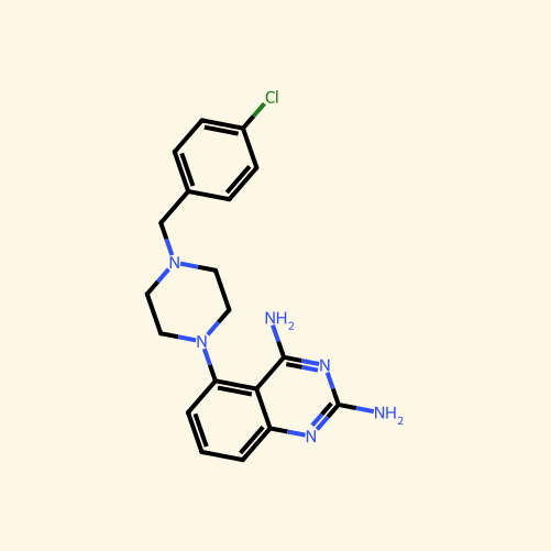 Nc1nc(N)c2c(N3CCN(Cc4ccc(Cl)cc4)CC3)cccc2n1